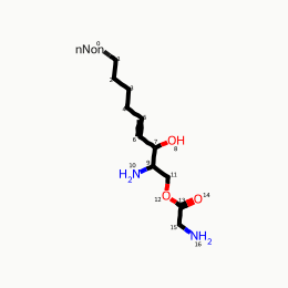 CCCCCCCCCCCCCC=CC(O)C(N)COC(=O)CN